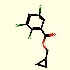 O=C(OCC1CC1)c1[c]c(Cl)cc(Cl)c1Cl